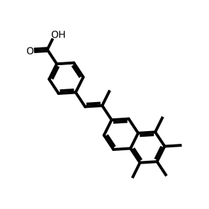 CC(=Cc1ccc(C(=O)O)cc1)c1ccc2c(C)c(C)c(C)c(C)c2c1